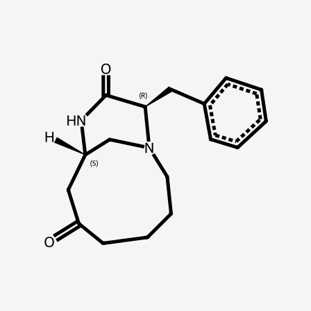 O=C1CCCCN2C[C@H](C1)NC(=O)[C@H]2Cc1ccccc1